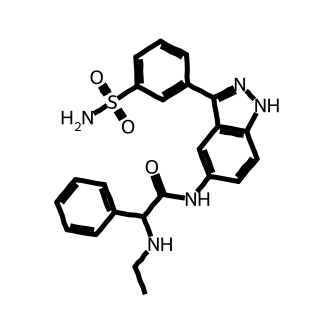 CCNC(C(=O)Nc1ccc2[nH]nc(-c3cccc(S(N)(=O)=O)c3)c2c1)c1ccccc1